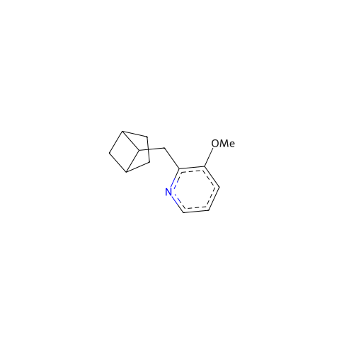 COc1cccnc1CC1C2CCC1C2